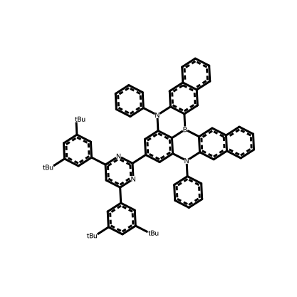 CC(C)(C)c1cc(-c2cc(-c3cc(C(C)(C)C)cc(C(C)(C)C)c3)nc(-c3cc4c5c(c3)N(c3ccccc3)c3cc6ccccc6cc3B5c3cc5ccccc5cc3N4c3ccccc3)n2)cc(C(C)(C)C)c1